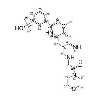 COC1=CC(=N)/C(=C\NCC(=O)N2CCOCC2)C=C1NC(=O)c1cccc(C(C)(C)O)n1